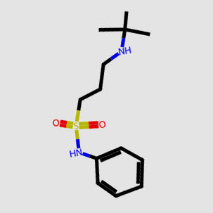 CC(C)(C)NCCCS(=O)(=O)Nc1ccccc1